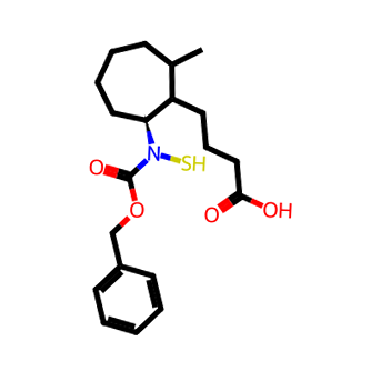 CC1CCCC[C@H](N(S)C(=O)OCc2ccccc2)C1CCCC(=O)O